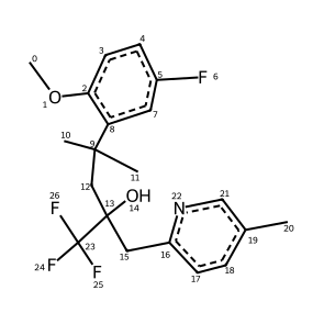 COc1ccc(F)cc1C(C)(C)CC(O)(Cc1ccc(C)cn1)C(F)(F)F